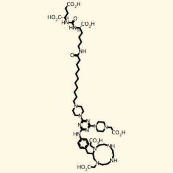 O=C(O)CC[C@H](NC(=O)N[C@@H](CCCCNC(=O)CCCCCCCCCCN1CCN(c2nc(Nc3ccc(CC4CN(CC(=O)O)CCNCCNCCN4CC(=O)O)cc3)nc(N3CCN(CC(=O)O)CC3)n2)CC1)C(=O)O)C(=O)O